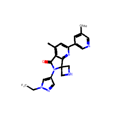 COc1cncc(-c2cc(C)c3c(n2)C2(CNC2)N(c2cnn(CC(F)(F)F)c2)C3=O)c1